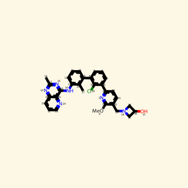 COc1nc(-c2cccc(-c3cccc(Nc4nc(C)nc5cccnc45)c3C)c2Cl)ccc1CN1CC(O)C1